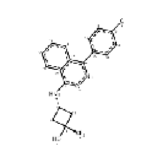 O[C@]1(C(F)(F)F)C[C@H](Nc2nnc(-c3ccc(Cl)cc3)c3ccccc23)C1